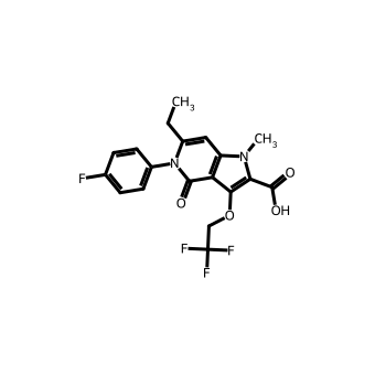 CCc1cc2c(c(OCC(F)(F)F)c(C(=O)O)n2C)c(=O)n1-c1ccc(F)cc1